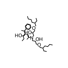 CCCCC(CC)COCC(O)CN(CC(O)COCC(CC)CCCC)/C(C)=C/C(=C(/O)CC)C(C)c1ccccc1